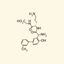 Cc1cccc(-c2ccc(O)c(C(N)C(=O)N[C@@H](CCCN)C(=O)NCC(=O)O)c2)c1